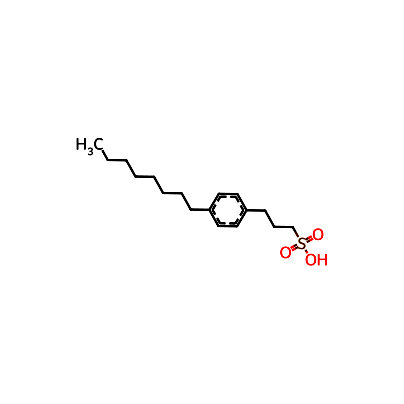 CCCCCCCCc1ccc(CCCS(=O)(=O)O)cc1